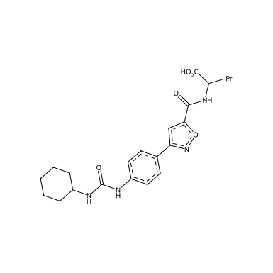 CC(C)C(NC(=O)c1cc(-c2ccc(NC(=O)NC3CCCCC3)cc2)no1)C(=O)O